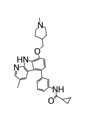 Cc1cnc2[nH]c3c(OCC4CCN(C)CC4)ccc(-c4cccc(NC(=O)C5CC5)c4)c3c2c1